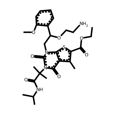 CCOC(=O)c1sc2c(c1C)c(=O)n(C(C)(C)C(=O)NC(C)C)c(=O)n2CC(OCCN)c1ccccc1OC